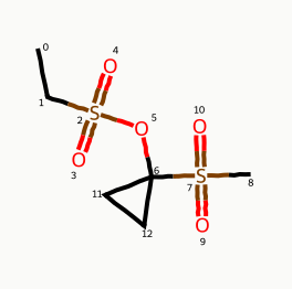 CCS(=O)(=O)OC1(S(C)(=O)=O)CC1